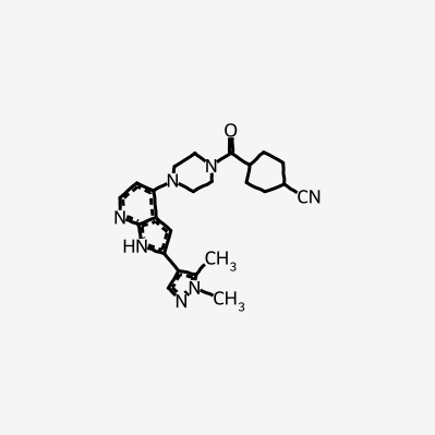 Cc1c(-c2cc3c(N4CCN(C(=O)C5CCC(C#N)CC5)CC4)ccnc3[nH]2)cnn1C